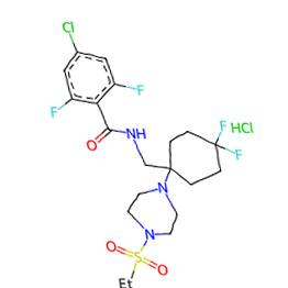 CCS(=O)(=O)N1CCN(C2(CNC(=O)c3c(F)cc(Cl)cc3F)CCC(F)(F)CC2)CC1.Cl